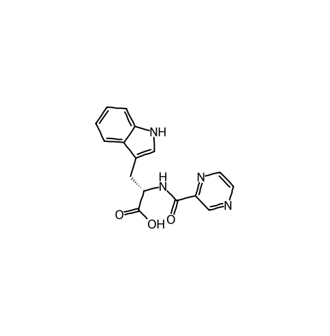 O=C(N[C@@H](Cc1c[nH]c2ccccc12)C(=O)O)c1cnccn1